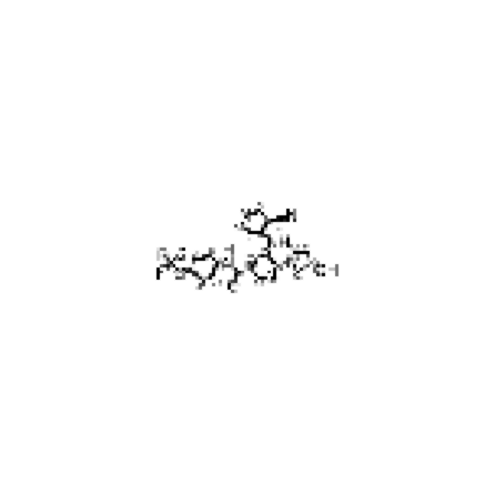 N#Cc1cnccc1Nc1cc(C(=O)Nc2ccc(OC(F)(F)Cl)cc2)cnc1N1CC[C@@H](O)C1